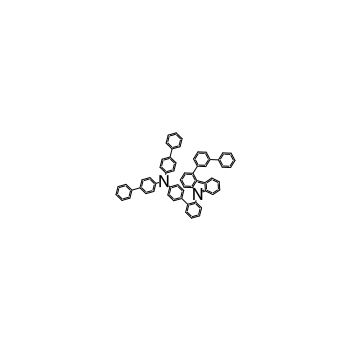 c1ccc(-c2ccc(N(c3ccc(-c4ccccc4)cc3)c3ccc(-c4ccccc4-n4c5ccccc5c5c(-c6cccc(-c7ccccc7)c6)cccc54)cc3)cc2)cc1